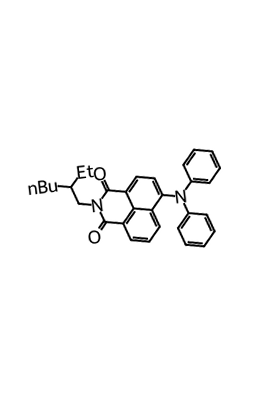 CCCCC(CC)CN1C(=O)c2cccc3c(N(c4ccccc4)c4ccccc4)ccc(c23)C1=O